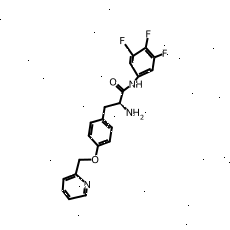 N[C@@H](Cc1ccc(OCc2ccccn2)cc1)C(=O)Nc1cc(F)c(F)c(F)c1